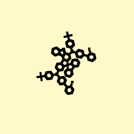 CC(C)(C)c1ccc(N(c2ccc(-c3ccccc3F)cc2)c2ccc3c(c2)C2(c4ccccc4-c4ccccc42)c2cc(N(c4ccc(-c5ccccc5F)cc4)c4ccc(C(C)(C)C)cc4)c4oc5ccccc5c4c2-3)cc1